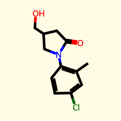 Cc1cc(Cl)ccc1N1CC(CO)CC1=O